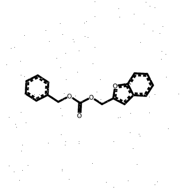 O=C(OCc1ccccc1)OCc1cc2ccccc2o1